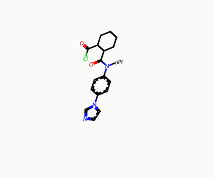 CCCN(C(=O)C1CCCCC1C(=O)Cl)c1ccc(-n2ccnc2)cc1